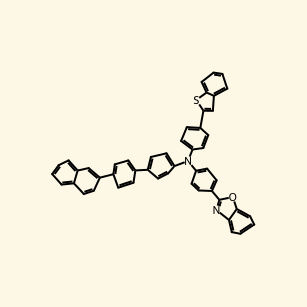 c1ccc2cc(-c3ccc(-c4ccc(N(c5ccc(-c6nc7ccccc7o6)cc5)c5ccc(-c6cc7ccccc7s6)cc5)cc4)cc3)ccc2c1